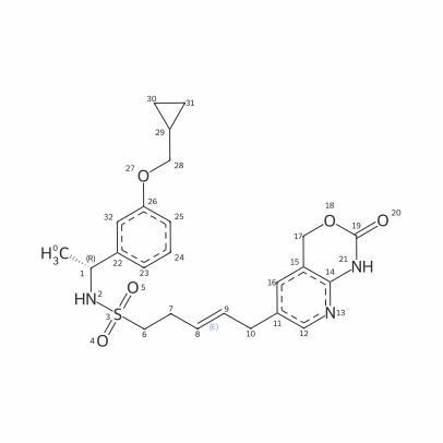 C[C@@H](NS(=O)(=O)CC/C=C/Cc1cnc2c(c1)COC(=O)N2)c1cccc(OCC2CC2)c1